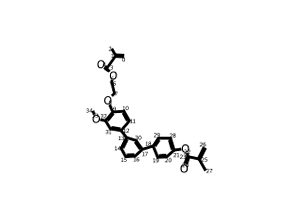 C=C(C)C(=O)OCCOc1ccc(-c2cccc(-c3ccc(OC(=O)C(=C)C)cc3)c2)cc1OC